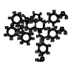 COC1=CC=C2C(c3ccc(OC)cc3)=CN(C=C(c3ccc(OC)cc3)c3ccc(OC)cc3)C3=CC4=C(CC123)c1ccccc1C41c2ccccc2-c2ccccc21